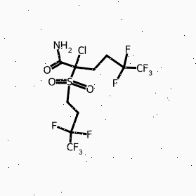 NC(=O)C(Cl)(CCC(F)(F)C(F)(F)F)S(=O)(=O)CCC(F)(F)C(F)(F)F